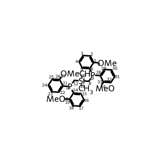 COc1ccccc1P(C[Si](C)(C)CP(c1ccccc1OC)c1ccccc1OC)c1ccccc1OC